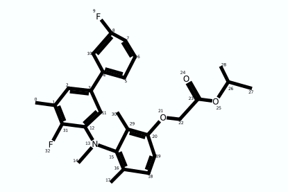 Cc1cc(-c2cccc(F)c2)cc(N(C)c2c(C)ccc(OCC(=O)OC(C)C)c2C)c1F